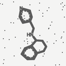 c1ccc2c(c1)CCCC2NCc1ccncc1